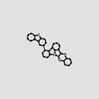 c1ccc2nc3c(nc2c1)c1cccc2c4c(-c5ccc6sc7ccccc7c6c5)cccc4n3c12